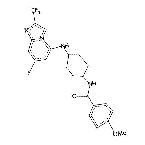 COc1ccc(C(=O)NC2CCC(Nc3cc(F)cc4nc(C(F)(F)F)cn34)CC2)cc1